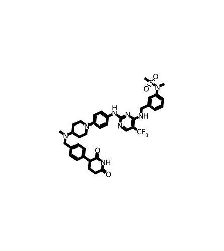 CN(Cc1ccc(C2CCC(=O)NC2=O)cc1)C1CCN(c2ccc(Nc3ncc(C(F)(F)F)c(NCc4cccc(N(C)S(C)(=O)=O)c4)n3)cc2)CC1